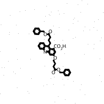 O=C(CCCOc1cc(C(=O)O)c2c(CCCC(=O)OCc3ccccc3)c3ccccc3nc2c1)OCc1ccccc1